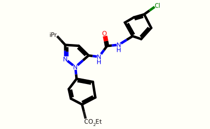 CCOC(=O)c1ccc(-n2nc(C(C)C)cc2NC(=O)Nc2ccc(Cl)cc2)cc1